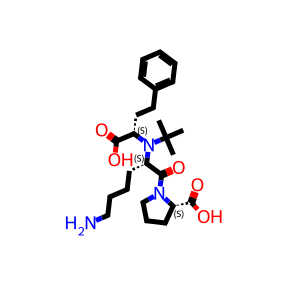 CC(C)(C)N([C@@H](CCc1ccccc1)C(=O)O)[C@@H](CCCCN)C(=O)N1CCC[C@H]1C(=O)O